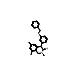 [2H]C1C(c2cccc(SCc3ccccc3)c2)c2cc(C)cc(C)c2CN1C